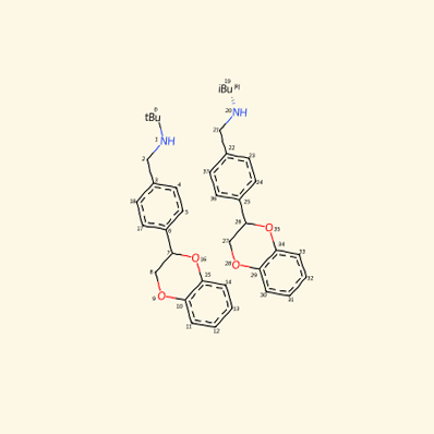 CC(C)(C)NCc1ccc(C2COc3ccccc3O2)cc1.CC[C@@H](C)NCc1ccc(C2COc3ccccc3O2)cc1